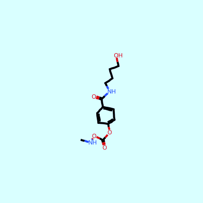 CNOC(=O)Oc1ccc(C(=O)NCCCCO)cc1